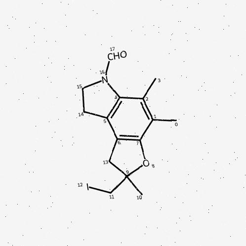 Cc1c(C)c2c(c3c1OC(C)(CI)C3)CCN2C=O